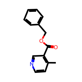 Cc1ccncc1C(=O)OCc1ccccc1